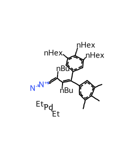 CCCCCCc1cc(C(=C(CCCC)C(=C=[N+]=[N-])CCCC)c2cc(C)c(C)c(C)c2)cc(CCCCCC)c1CCCCCC.C[CH2][Pd][CH2]C